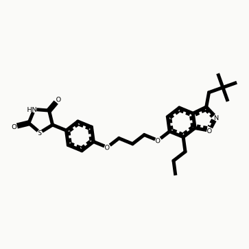 CCCc1c(OCCCOc2ccc(C3SC(=O)NC3=O)cc2)ccc2c(CC(C)(C)C)noc12